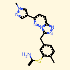 C=C(N)Sc1cc(Cc2nnc3ccc(-c4cnn(C)c4)nn23)ccc1C